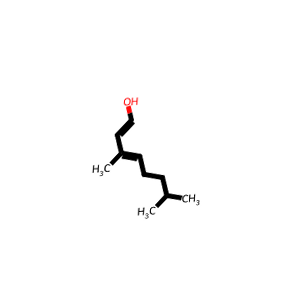 CC(=CCCC(C)C)/C=C/O